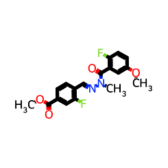 COC(=O)c1ccc(/C=N/N(C)C(=O)c2cc(OC)ccc2F)c(F)c1